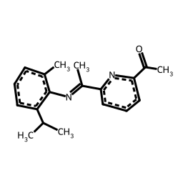 CC(=O)c1cccc(C(C)=Nc2c(C)cccc2C(C)C)n1